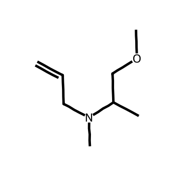 C=CCN(C)C(C)COC